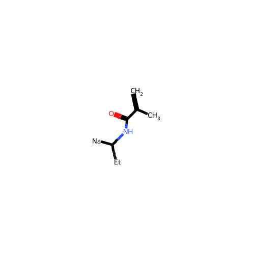 C=C(C)C(=O)N[CH]([Na])CC